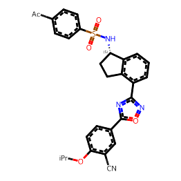 CC(=O)c1ccc(S(=O)(=O)N[C@H]2CCc3c(-c4noc(-c5ccc(OC(C)C)c(C#N)c5)n4)cccc32)cc1